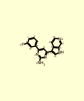 Nc1nc(-c2cccc(F)c2)cc(-c2c[nH]c3cnccc23)n1